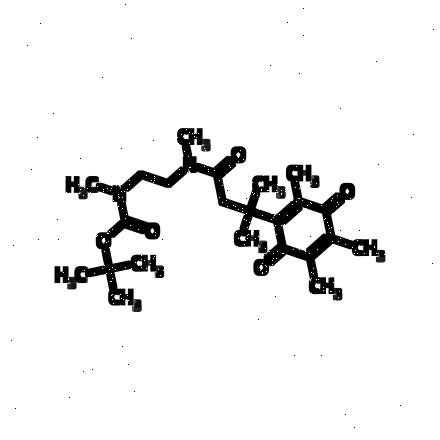 CC1=C(C)C(=O)C(C(C)(C)CC(=O)N(C)CCN(C)C(=O)OC(C)(C)C)=C(C)C1=O